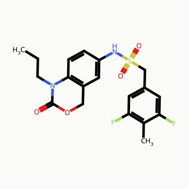 CCCN1C(=O)OCc2cc(NS(=O)(=O)Cc3cc(F)c(C)c(F)c3)ccc21